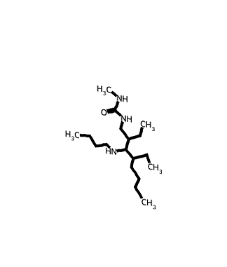 CCCCNC(C(CC)CCCC)C(CC)CNC(=O)NC